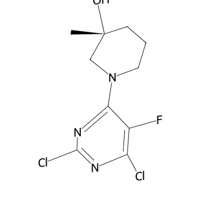 C[C@@]1(O)CCCN(c2nc(Cl)nc(Cl)c2F)C1